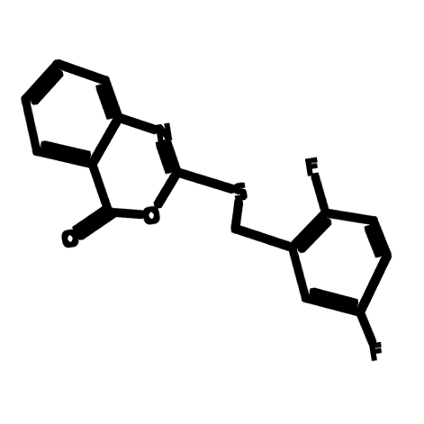 O=c1oc(SCc2cc(F)ccc2F)nc2ccccc12